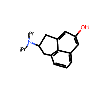 CC(C)N(C(C)C)C1Cc2cccc3cc(O)cc(c23)C1